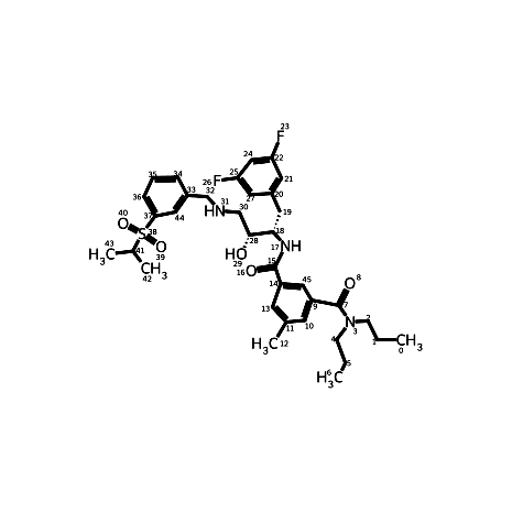 CCCN(CCC)C(=O)c1cc(C)cc(C(=O)N[C@@H](Cc2cc(F)cc(F)c2)[C@H](O)CNCc2cccc(S(=O)(=O)C(C)C)c2)c1